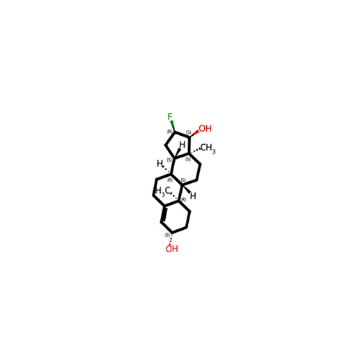 C[C@]12CC[C@H]3[C@@H](CCC4=C[C@@H](O)CC[C@@]43C)[C@@H]1C[C@@H](F)[C@H]2O